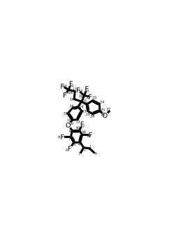 CCC(C)c1c(F)c(F)c(Oc2ccc(C(CCC(F)(F)F)(c3ccc(OC)cc3)C(F)(F)F)cc2)c(F)c1F